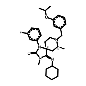 CC(C)Oc1cccc(CN2CC[C@@]3(C[C@@H]2C)C(=NC2CCCCC2)N(C)C(=O)N3c2cccc(F)c2)c1